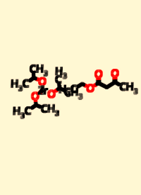 CC(C)[O][Zr]([O]C(C)C)[O]C(C)C.CCOC(=O)CC(C)=O